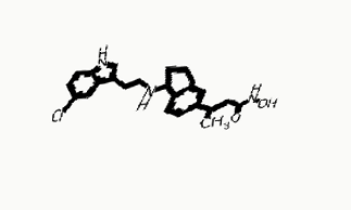 CC(=CC(=O)NO)c1ccc2c(c1)CCC2NCCc1c[nH]c2ccc(Cl)cc12